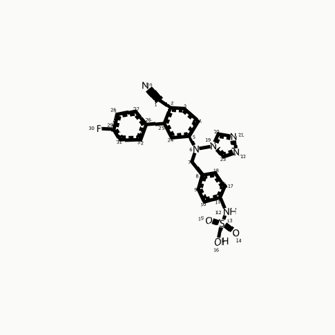 N#Cc1ccc(N(Cc2ccc(NS(=O)(=O)O)cc2)n2cnnc2)cc1-c1ccc(F)cc1